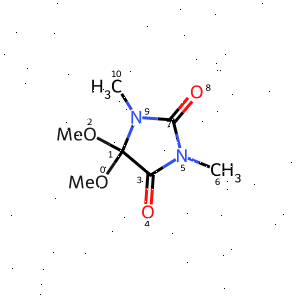 COC1(OC)C(=O)N(C)C(=O)N1C